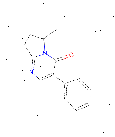 CC1CCc2ncc(-c3ccccc3)c(=O)n21